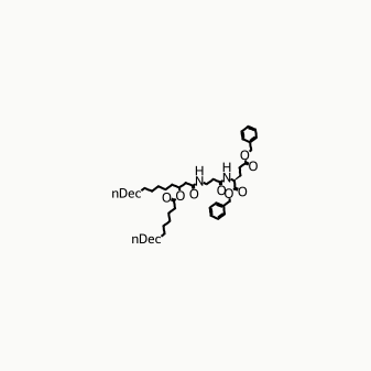 CCCCCCCCCCCCCCCC(=O)OC(CCCCCCCCCCCCCCC)CC(=O)NCCC(=O)N[C@@H](CCC(=O)OCc1ccccc1)C(=O)OCc1ccccc1